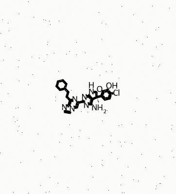 C[C@@]1(c2ccc(Cl)c(O)c2)C(=O)Nc2nc(-c3cn4ccnc4c(CCC4CCCCC4)n3)nc(N)c21